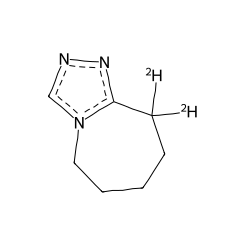 [2H]C1([2H])CCCCn2cnnc21